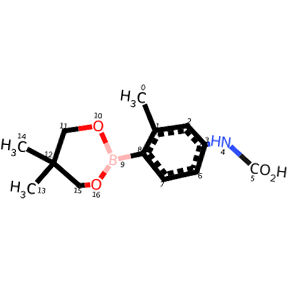 Cc1cc(NC(=O)O)ccc1B1OCC(C)(C)CO1